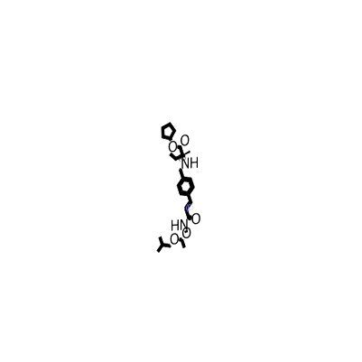 CC[C@@](C)(NCc1ccc(/C=C/C(=O)NOC(C)OCC(C)C)cc1)C(=O)OC1CCCC1